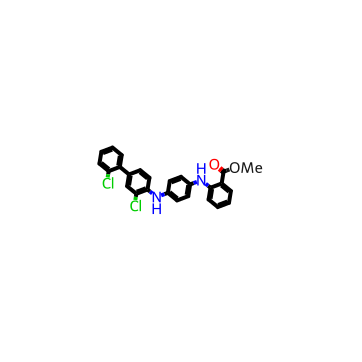 COC(=O)c1ccccc1Nc1ccc(Nc2ccc(-c3ccccc3Cl)cc2Cl)cc1